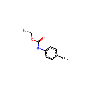 CC[C@@H](C)COC(=O)Nc1ccc(C)cc1